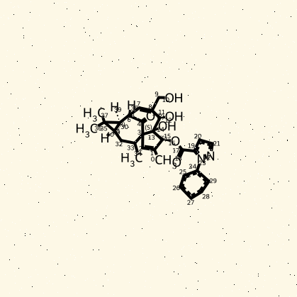 CC1=CC23C(=O)[C@@H](C=C(CO)[C@@H](O)[C@]2(O)[C@H]1OC(=O)c1ccnn1-c1ccccc1)[C@H]1[C@@H](CC3C)C1(C)C